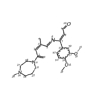 C=C(\C=C(C)/C=N/C(=C\C=O)c1ccc(OC)c(OC)c1)N1CCCN(C)CC1